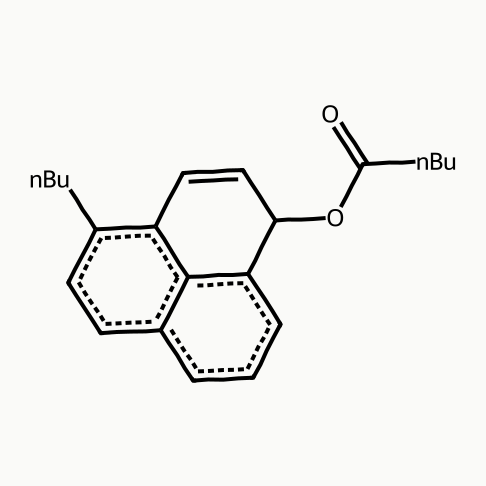 CCCCC(=O)OC1C=Cc2c(CCCC)ccc3cccc1c23